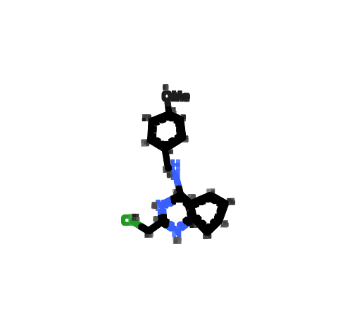 COc1ccc(CNc2nc(CCl)nc3ccccc23)cc1